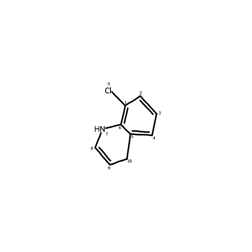 Clc1cccc2c1NC=[C]C2